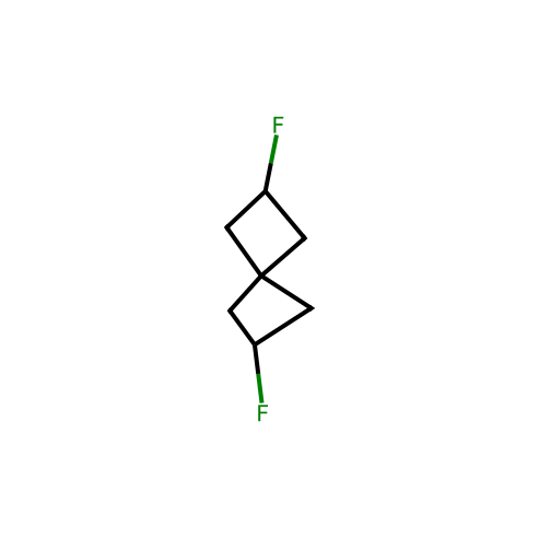 FC1CC2(C1)CC(F)C2